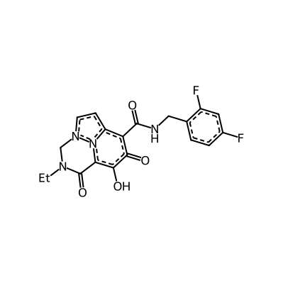 CCN1Cn2ccc3c(C(=O)NCc4ccc(F)cc4F)c(=O)c(O)c(n32)C1=O